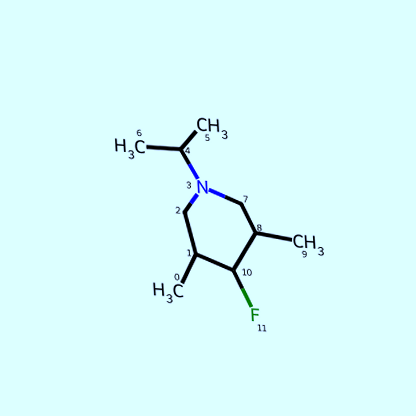 CC1CN(C(C)C)CC(C)C1F